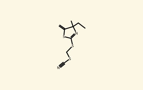 C=C1SC(SCSC#N)=NC1(C)CC